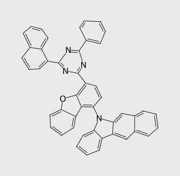 c1ccc(-c2nc(-c3cccc4ccccc34)nc(-c3ccc(-n4c5ccccc5c5cc6ccccc6cc54)c4c3oc3ccccc34)n2)cc1